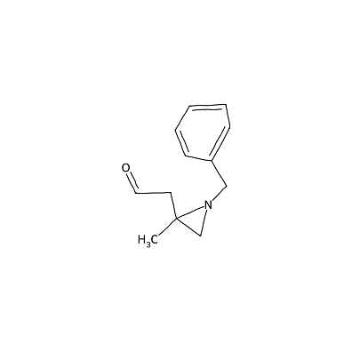 CC1(CC=O)CN1Cc1ccccc1